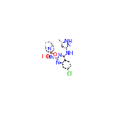 Cc1cc(Nc2nc(NC3CC4CCC(C3)N4C(=O)O)nc3cc(Cl)ccc23)n[nH]1